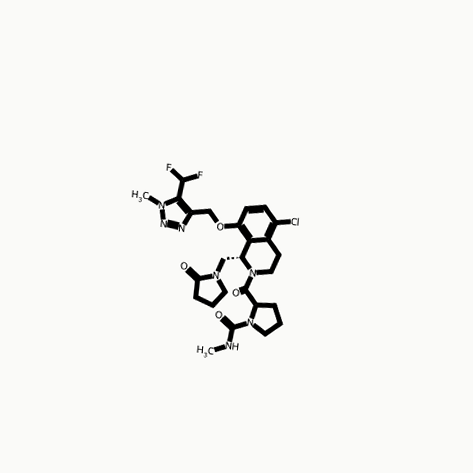 CNC(=O)N1CCCC1C(=O)N1CCc2c(Cl)ccc(OCc3nnn(C)c3C(F)F)c2[C@H]1CN1CCCC1=O